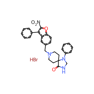 Br.O=C1NCN(c2ccccc2)C12CCN(Cc1ccc3oc([N+](=O)[O-])c(-c4ccccc4)c3c1)CC2